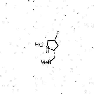 CNC[C@H]1C[C@H](F)CN1.Cl